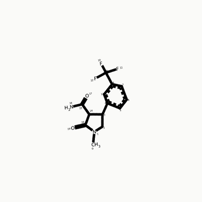 CN1CC(c2cccc(C(F)(F)F)c2)C(C(N)=O)C1=O